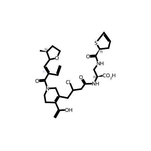 C=C/C(=C\C1OCC[C@@H]1C)C(=O)N1CCC(C(=C)O)=C(CC(Cl)CC(=O)N[C@@H](CNC(=O)[C@@H]2CC=CS2)C(=O)O)C1